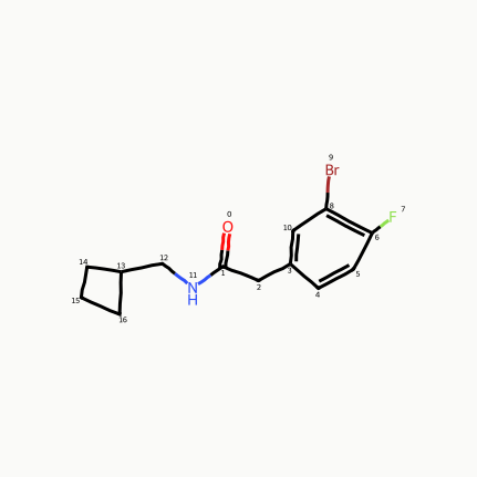 O=C(Cc1ccc(F)c(Br)c1)NCC1CCC1